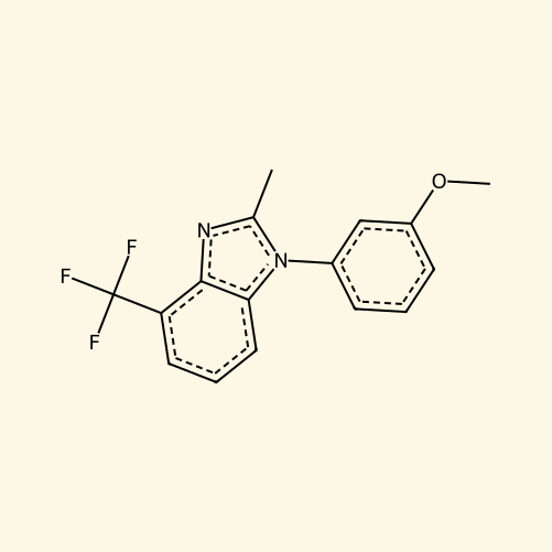 COc1cccc(-n2c(C)nc3c(C(F)(F)F)cccc32)c1